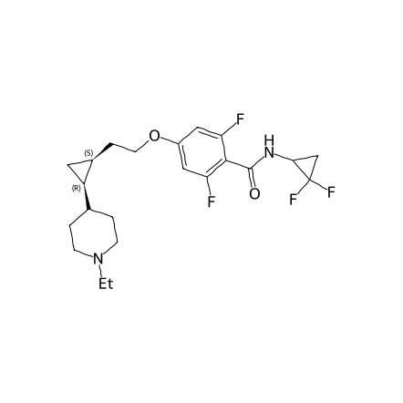 CCN1CCC([C@H]2C[C@H]2CCOc2cc(F)c(C(=O)NC3CC3(F)F)c(F)c2)CC1